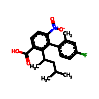 Cc1cc(F)ccc1-c1c([N+](=O)[O-])ccc(C(=O)O)c1C(C)CC(C)C